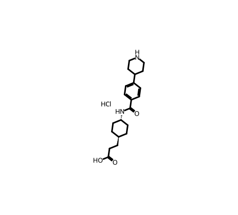 Cl.O=C(O)CC[C@H]1CC[C@H](NC(=O)c2ccc(C3CCNCC3)cc2)CC1